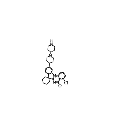 O=c1nc2n(c3cccc(Cl)c13)-c1cc(C3CCN(C4CCNCC4)CC3)ccc1C21CCCCC1